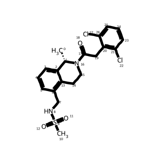 C[C@H]1c2cccc(CNS(C)(=O)=O)c2CCN1C(=O)Cc1c(Cl)cccc1Cl